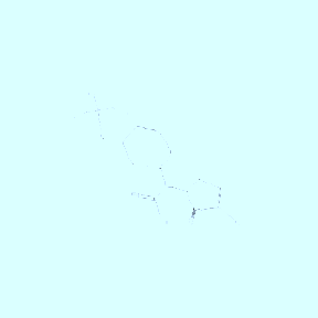 CC(C)(C)N[C@@H]1CCCC(N(C(=O)O)N2CCC(N)C2=O)C1